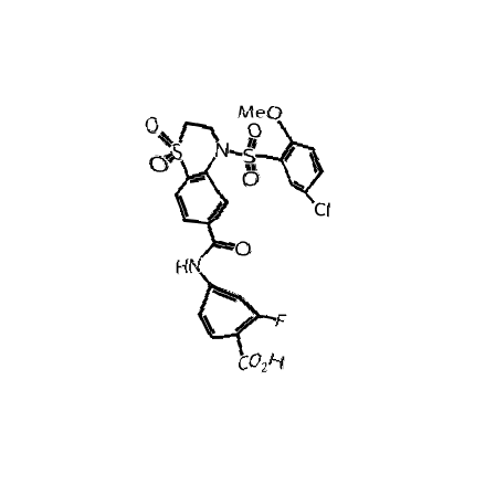 COc1ccc(Cl)cc1S(=O)(=O)N1CCS(=O)(=O)c2ccc(C(=O)Nc3ccc(C(=O)O)c(F)c3)cc21